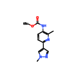 Cc1nc(-c2cnn(C)c2)ccc1NC(=O)OC(C)(C)C